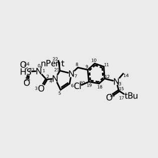 CCCCCN(C(=O)N1C=CN(Cc2ccc(N(C)C(=O)C(C)(C)C)cc2Cl)C1C)[SH](=O)=O